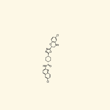 O=C(Nc1ccc2cc(Cl)ccc2n1)[C@H]1CC[C@H](c2nnc([C@@H]3CNc4cc(Cl)ccc4O3)o2)CC1